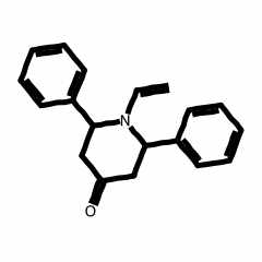 C=CN1C(c2ccccc2)CC(=O)CC1c1ccccc1